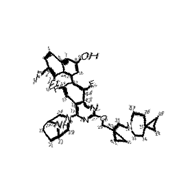 CCc1c(F)ccc2cc(O)cc(-c3c(F)cc4c(N5CC6CCC(C5)N6)nc(OCC5(CN6CCC7(CC6)CC7)CC5)nc4c3F)c12